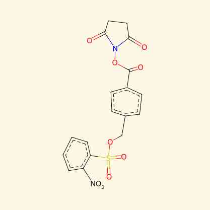 O=C(ON1C(=O)CCC1=O)c1ccc(COS(=O)(=O)c2ccccc2[N+](=O)[O-])cc1